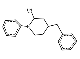 NC1CC(Cc2ccccc2)CCN1c1ccccc1